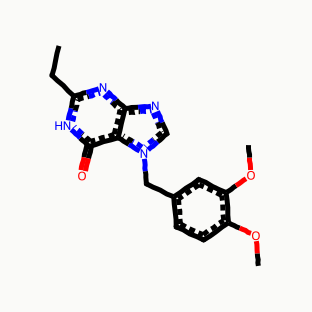 CCc1nc2ncn(Cc3ccc(OC)c(OC)c3)c2c(=O)[nH]1